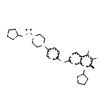 CC(=O)c1c(C)c2cnc(Nc3ccc(N4CCN(S(=O)(=O)OC5CCCC5)CC4)cn3)nc2n(C2CCCC2)c1=O